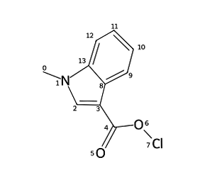 Cn1cc(C(=O)OCl)c2ccccc21